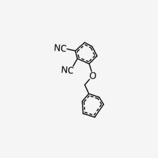 N#Cc1cccc(OCc2ccccc2)c1C#N